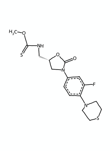 COC(=S)NC[C@H]1CN(c2ccc(N3CCSCC3)c(F)c2)C(=O)O1